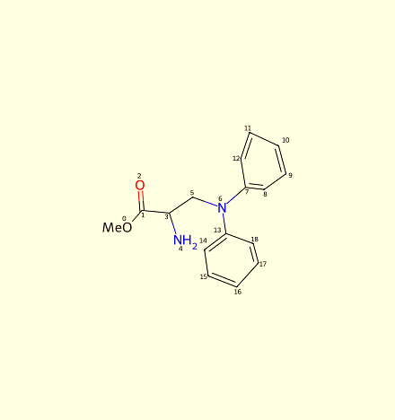 COC(=O)C(N)CN(c1ccccc1)c1ccccc1